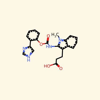 Cn1c(NC(=O)Oc2ccccc2-c2c[nH]cn2)c(CCC(=O)O)c2ccccc21